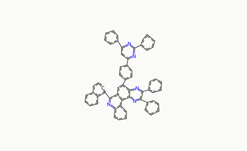 c1ccc(-c2cc(-c3ccc(-c4cc5c(-c6cccc7ccccc67)nc6ccccc6c5c5nc(-c6ccccc6)c(-c6ccccc6)nc45)cc3)nc(-c3ccccc3)n2)cc1